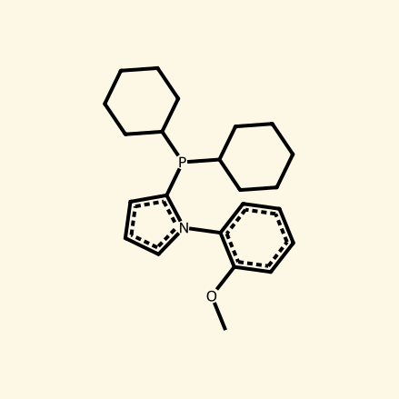 COc1ccccc1-n1cccc1P(C1CCCCC1)C1CCCCC1